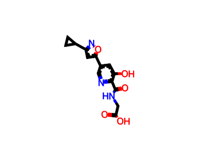 O=C(O)CNC(=O)c1ncc(-c2cc(C3CC3)no2)cc1O